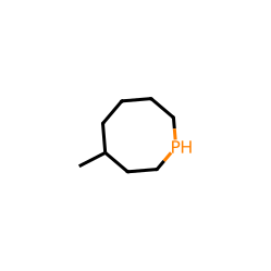 CC1CCCCPCC1